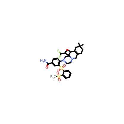 CC1(C)CCC(CN2CCN(c3ccc(C(N)=O)cc3S(=O)(=O)c3ccccc3S(=O)(=O)C(F)(F)F)CC2)=C(C23CC(C(F)F)(C2)C3)C1